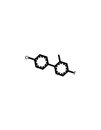 Cc1cc(F)ccc1-c1ccc(Cl)cc1